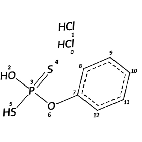 Cl.Cl.OP(=S)(S)Oc1ccccc1